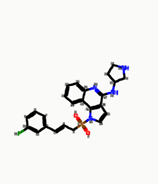 O=S(=O)(CC=Cc1cccc(F)c1)n1ccc2c(NC3CCNC3)nc3ccccc3c21